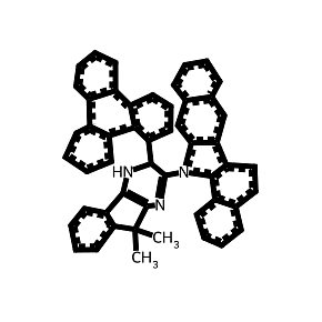 CC1(C)C2=C(NC(c3cccc4c5ccccc5c5ccccc5c34)C(n3c4cc5ccccc5cc4c4ccc5ccccc5c43)=N2)c2ccccc21